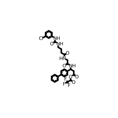 O=C(CCCNC(=O)Nc1cccc(Cl)c1)NCC(=O)NC(CC(=O)OC(=O)C(F)(F)F)c1ccc(-c2ccccc2)cc1